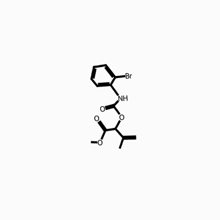 C=C(C)C(OC(=O)Nc1ccccc1Br)C(=O)OC